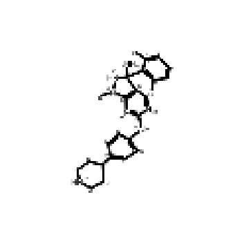 Cc1cccc(C)c1C1(N)NN(C)c2nc(Nc3ccc(C4CCNCC4)cc3)ncc21